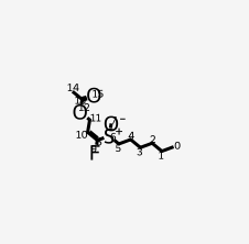 CCCCCC[S+]([O-])/C(F)=C\COC(C)=O